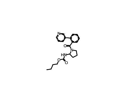 CCCCOC(=O)NC1CCCN1C(=O)c1ccccc1-c1[c]nccc1